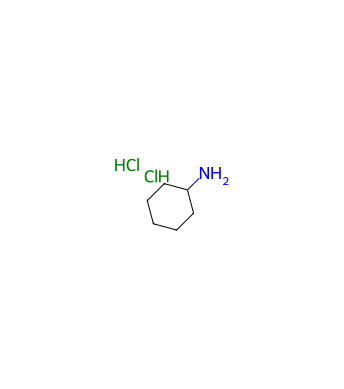 Cl.Cl.NC1CCCCC1